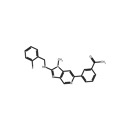 CC(=O)c1cccc(-c2cc3c(cn2)nc(NCc2ccccc2F)n3C)c1